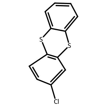 Clc1ccc2c(c1)Sc1ccccc1S2